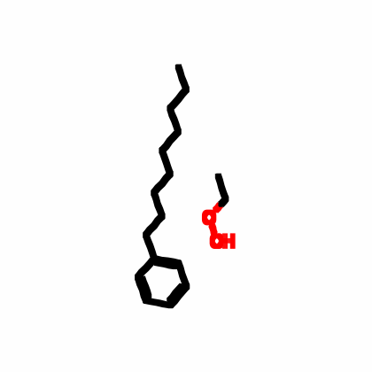 CCCCCCCCCc1ccccc1.CCOO